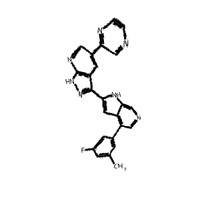 Cc1cc(F)cc(-c2cncc3[nH]c(-c4n[nH]c5ncc(-c6cnccn6)cc45)cc23)c1